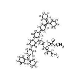 C=CC(=O)OCCCC1(CCCOC(=O)C=C)c2cc(-c3ccc(N(c4ccccc4)c4ccccc4)cc3)ccc2-c2ccc(-c3ccc(N(c4ccccc4)c4ccccc4)cc3)cc21